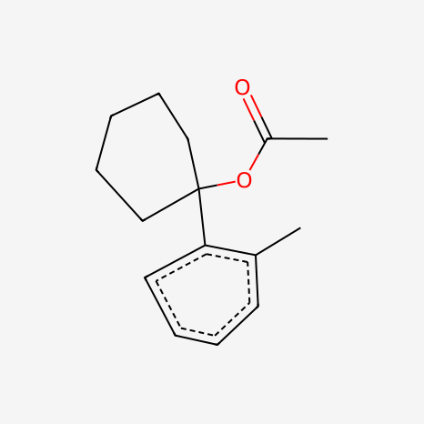 CC(=O)OC1(c2ccccc2C)CCCCC1